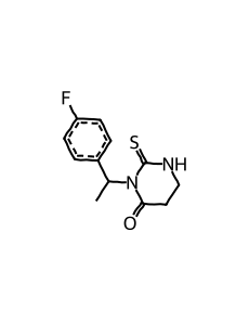 CC(c1ccc(F)cc1)N1C(=O)CCNC1=S